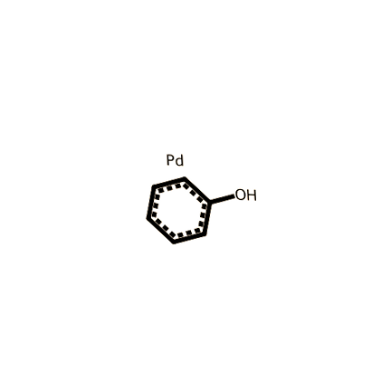 Oc1ccccc1.[Pd]